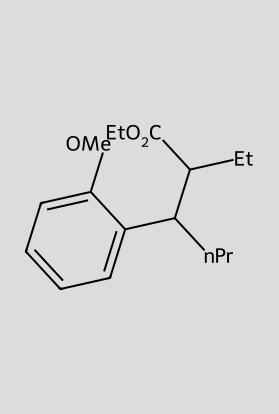 CCCC(c1ccccc1OC)C(CC)C(=O)OCC